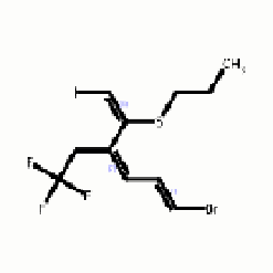 CCCSC(=C/I)/C(=C\C=C\Br)CC(F)(F)F